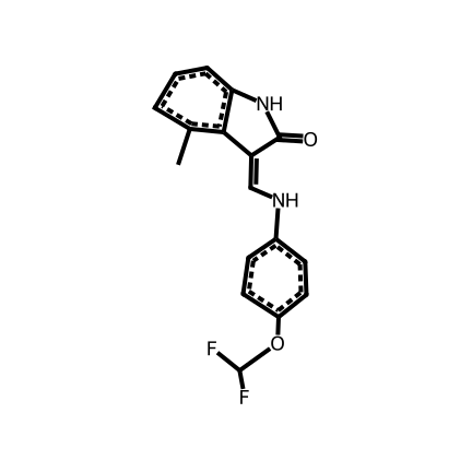 Cc1cccc2c1C(=CNc1ccc(OC(F)F)cc1)C(=O)N2